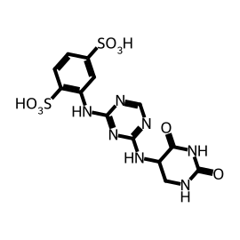 O=C1NCC(Nc2ncnc(Nc3cc(S(=O)(=O)O)ccc3S(=O)(=O)O)n2)C(=O)N1